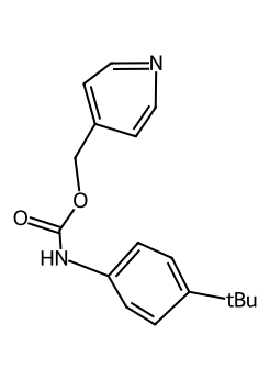 CC(C)(C)c1ccc(NC(=O)OCc2ccncc2)cc1